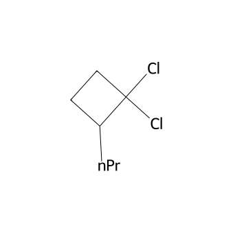 [CH2]CCC1CCC1(Cl)Cl